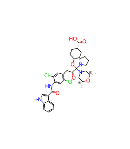 C[C@@H]1CN(C(O[C@H]2CC[C@H](C(=O)O)CC2)(C(=O)Cc2cc(Cl)c(NC(=O)c3cn(C)c4ccccc34)cc2Cl)N2CCCC2)C[C@H](C)O1